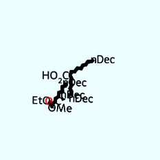 CCCCCCCCCCCC(=O)OCC.CCCCCCCCCCCCCCCCCC(=O)OC.CCCCCCCCCCCCCCCCCCC(CCCCCCCCCCCCCCCC)C(=O)O